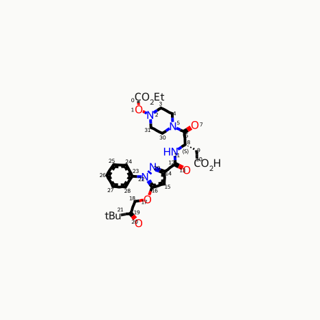 CCOC(=O)ON1CCN(C(=O)[C@H](CC(=O)O)NC(=O)c2cc(OCC(=O)C(C)(C)C)n(-c3ccccc3)n2)CC1